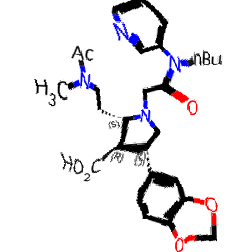 CCCCN(C(=O)CN1C[C@H](c2ccc3c(c2)OCO3)[C@@H](C(=O)O)[C@@H]1CCN(C)C(C)=O)c1cccnc1